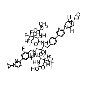 COC(=O)N[C@H](C(=O)N[C@@H](Cc1ccc(-c2ccc(N3C[C@H]4C[C@@H]3CN4C3COC3)nc2)cc1)[C@@H](O)CN(Cc1c(F)cc(-c2ccn(C3CC3)n2)cc1F)NC(=O)[C@@H](NC(=O)O)C(C)(C)C(F)(F)F)C(C)(C)C(F)(F)F